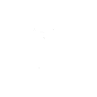 Cc1cc(C2CCN(S(C)(=O)=O)CC2)ccc1COc1ccccc1-c1cccc(-n2ncc(C(=O)O)c2C(F)(F)F)n1